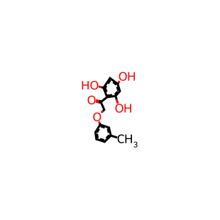 Cc1cccc(OCC(=O)c2c(O)cc(O)cc2O)c1